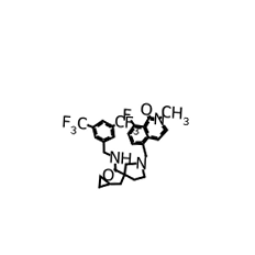 Cn1ccc2c(CN3CCC(CC4CC4)(C(=O)NCc4cc(C(F)(F)F)cc(C(F)(F)F)c4)C3)ccc(F)c2c1=O